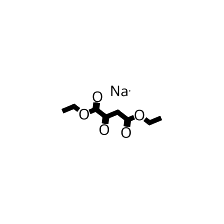 CCOC(=O)CC(=O)C(=O)OCC.[Na]